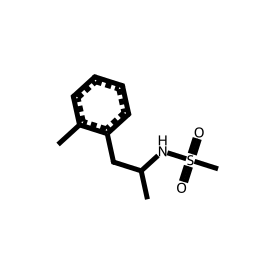 Cc1ccccc1CC(C)NS(C)(=O)=O